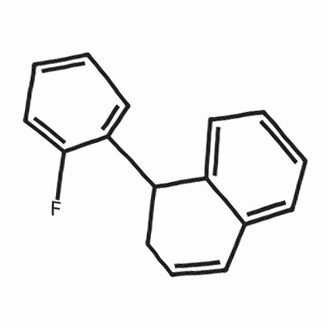 Fc1ccccc1C1CC=Cc2ccccc21